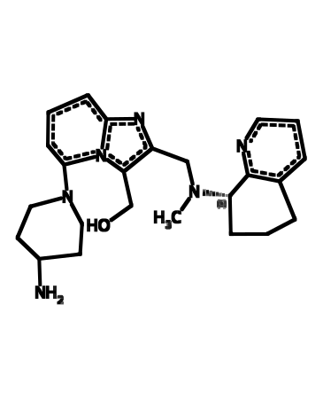 CN(Cc1nc2cccc(N3CCC(N)CC3)n2c1CO)[C@H]1CCCc2cccnc21